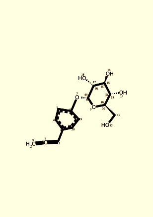 C=C=Cc1ccc(O[C@H]2O[C@H](CO)[C@@H](O)[C@H](O)[C@H]2O)cc1